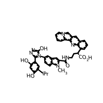 CC(C)c1cc(-c2nnc(O)n2-c2ccc3c(c2)cc(C(=O)NCCC(C(=O)O)c2cccc4cc5cn6ccccc6c5nc24)n3C)c(O)cc1O